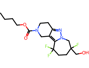 CCCCOC(=O)N1CCc2nn3c(c2C1)C(F)(F)CCC(F)(CO)C3